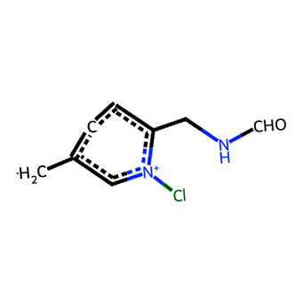 [CH2]c1ccc(CNC=O)[n+](Cl)c1